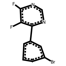 Fc1ncnc(-c2cc[c]c(Br)c2)c1F